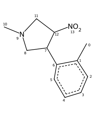 Cc1ccccc1C1CN(C)CC1[N+](=O)[O-]